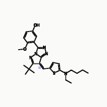 CCCCN(CC)c1ccc(/C=c2/c(C(C)(C)C)nn3c(-c4cc(O)ccc4OC)nnc23)s1